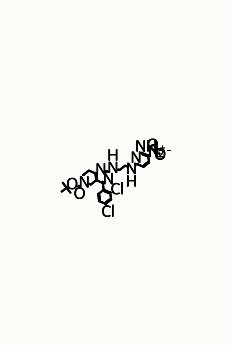 CC(C)(C)OC(=O)N1CCc2nc(NCCNc3ccc([N+](=O)[O-])c(N)n3)nc(-c3ccc(Cl)cc3Cl)c2C1